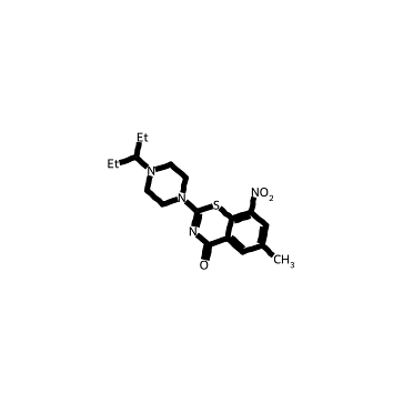 CCC(CC)N1CCN(c2nc(=O)c3cc(C)cc([N+](=O)[O-])c3s2)CC1